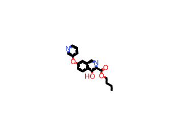 CCCCOC(=O)c1ncc2cc(Oc3cccnc3)ccc2c1O